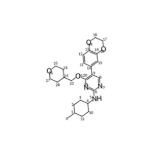 CC1CCC(Nc2ncc(-c3ccc4c(c3)OCCO4)c(OCC3CCOCC3)n2)CC1